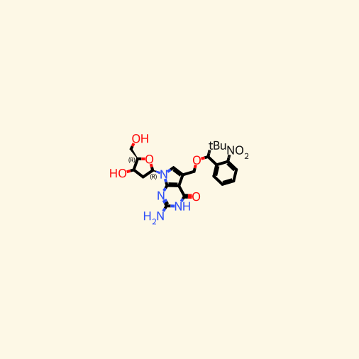 CC(C)(C)C(OCc1cn([C@H]2CC(O)[C@@H](CO)O2)c2nc(N)[nH]c(=O)c12)c1ccccc1[N+](=O)[O-]